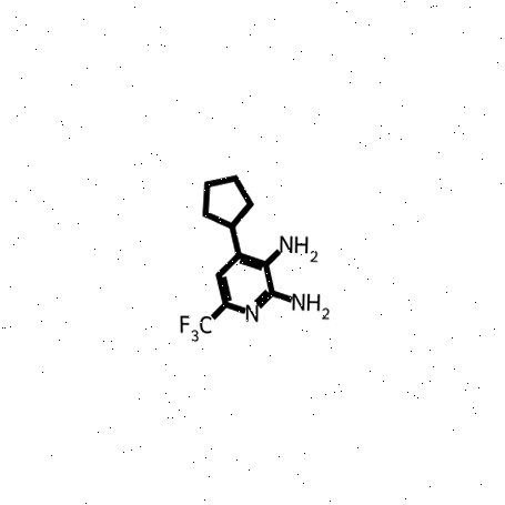 Nc1nc(C(F)(F)F)cc(C2CCCC2)c1N